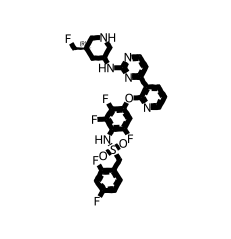 O=S(=O)(Cc1ccc(F)cc1F)Nc1c(F)cc(Oc2ncccc2-c2ccnc(NC3CNC[C@H](CF)C3)n2)c(F)c1F